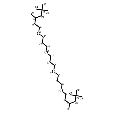 CC(CCOCCCOCCCOCCCOCCC(C)CC(C)(C)C)CC(C)(C)C